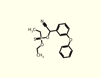 CCOP(=S)(CC)OC(C#N)c1cccc(Oc2ccccc2)c1